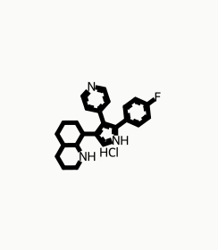 Cl.Fc1ccc(-c2[nH]cc(C3CCCC4CCCNC43)c2-c2ccncc2)cc1